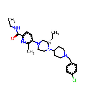 CCNC(=O)c1ccc(N2CCN(C3CCN(Cc4ccc(Cl)cc4)CC3)[C@@H](CC)C2)c(C)n1